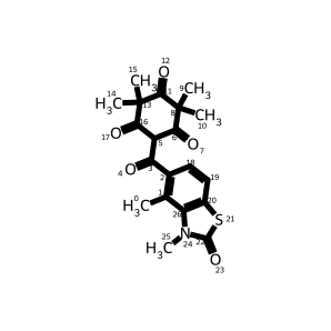 Cc1c(C(=O)C2C(=O)C(C)(C)C(=O)C(C)(C)C2=O)ccc2sc(=O)n(C)c12